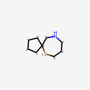 C1CNCC2(CCCC2)SC1